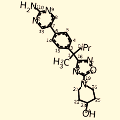 CC(C)C(C)(c1ccc(-c2cnc(N)nc2)cc1)c1noc(N2CCC(O)CC2)n1